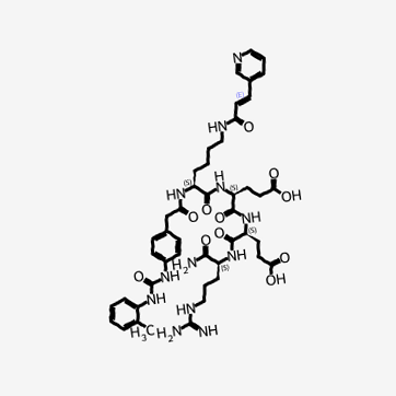 Cc1ccccc1NC(=O)Nc1ccc(CC(=O)N[C@@H](CCCCNC(=O)/C=C/c2cccnc2)C(=O)N[C@@H](CCC(=O)O)C(=O)N[C@@H](CCC(=O)O)C(=O)N[C@@H](CCCNC(=N)N)C(N)=O)cc1